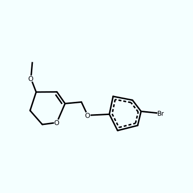 COC1C=C(COc2ccc(Br)cc2)OCC1